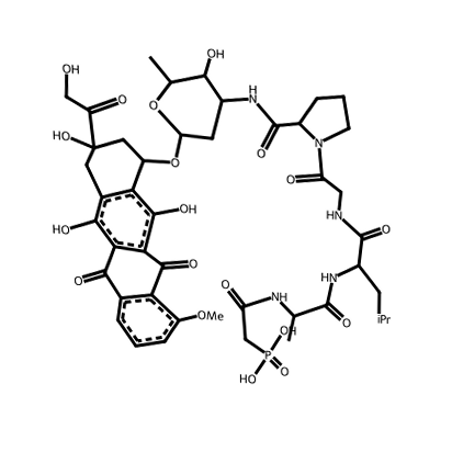 COc1cccc2c1C(=O)c1c(O)c3c(c(O)c1C2=O)CC(O)(C(=O)CO)CC3OC1CC(NC(=O)C2CCCN2C(=O)CNC(=O)C(CC(C)C)NC(=O)C(C)NC(=O)CP(=O)(O)O)C(O)C(C)O1